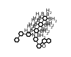 Bc1c(B)c(B)c(-c2c(B)c(B)c(-c3c(B)c(B)c(N(c4ccc(-c5cccc(-c6ccccc6)c5)cc4)c4ccc(-c5cccc6oc7c8ccccc8ccc7c56)cc4)c(B)c3B)c(B)c2B)c(B)c1B